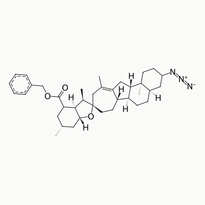 CC1=C2C[C@H]3[C@@H](CC[C@@H]4CC(N=[N+]=[N-])CC[C@@]43C)[C@@H]2CC[C@@]2(C1)O[C@@H]1C[C@H](C)CC(C(=O)OCc3ccccc3)[C@H]1[C@H]2C